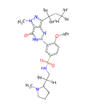 [2H]C([2H])([2H])CC([2H])([2H])c1nn(C)c2c(=O)[nH]c(-c3cc(S(=O)(=O)NCC([2H])([2H])C4CCCN4C)ccc3OCCC)nc12